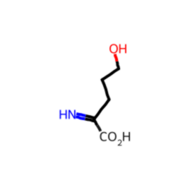 N=C(CCCO)C(=O)O